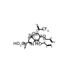 C=CCO[C@@H]1[C@H]2N=C(N(C)C(=O)O)S[C@H]2O[C@H](C(=C)C(F)(F)F)[C@H]1OCC=C